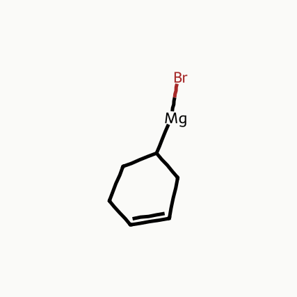 [Br][Mg][CH]1CC=CCC1